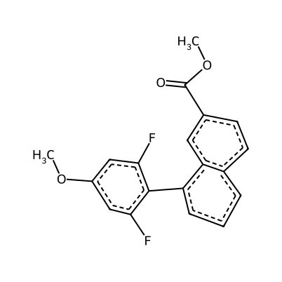 COC(=O)c1ccc2cccc(-c3c(F)cc(OC)cc3F)c2c1